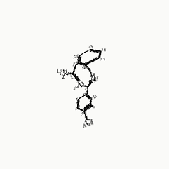 Nc1nc(-c2ccc(Cl)cc2)nc2ccccc12